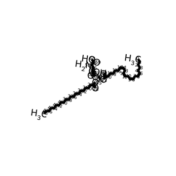 CCCCC/C=C\C/C=C\C/C=C\C/C=C\CCCCCC(=O)O[C@H](COC(=O)CCCCCCCCCCCCCCCCCCCC)COP(=O)(O)OC[C@H](N)C(=O)O